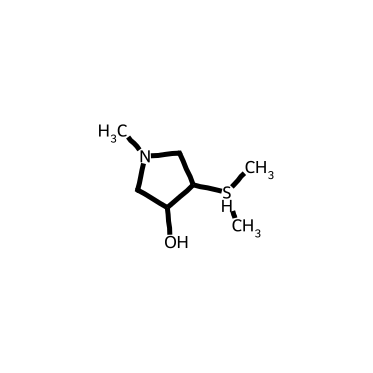 CN1CC(O)C([SH](C)C)C1